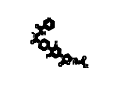 CCC(=O)NC[C@H]1CN(c2cc(F)c(N3CCN(C(=O)[C@H](C)NC(=O)c4cccnc4)CC3)c(F)c2)C(=O)O1